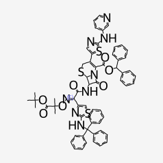 CC(C)(C)OC(=O)C(C)(C)O/N=C(/C(=O)NC1C(=O)N2C(C(=O)OC(c3ccccc3)c3ccccc3)=C(c3cnc(Nc4cccnc4)s3)CSC12)c1csc(NC(c2ccccc2)(c2ccccc2)c2ccccc2)n1